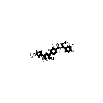 Cc1c(-c2cnc(N)c(-c3ccc(C(=O)NC(CN)c4cccc(Cl)c4)c(F)c3)c2)cnn1C